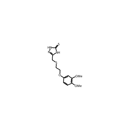 COc1ccc(OCCSCc2n[nH]c(=S)[nH]2)cc1OC